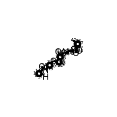 COc1cc2c(Oc3ccc(NC(=O)c4ccccc4)cc3)ccnc2cc1OCCCOS(=O)(=O)c1cccc(C)c1